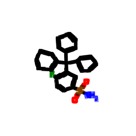 NS(=O)(=O)c1ccc(F)c(C(c2ccccc2)(c2ccccc2)c2ccccc2)c1